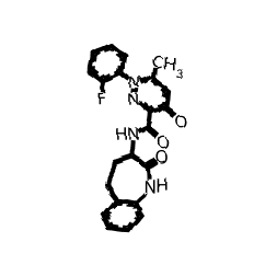 Cc1cc(=O)c(C(=O)NC2CCc3ccccc3NC2=O)nn1-c1ccccc1F